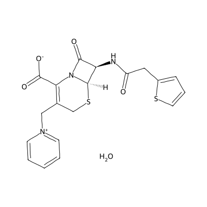 O.O=C(Cc1cccs1)N[C@@H]1C(=O)N2C(C(=O)[O-])=C(C[n+]3ccccc3)CS[C@H]12